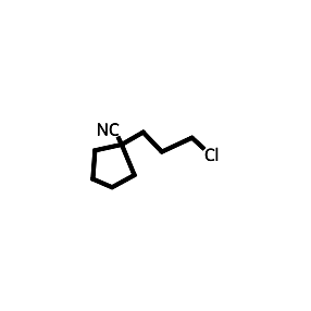 N#CC1(CCCCl)CCCC1